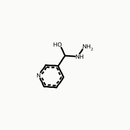 NNC(O)c1cccnc1